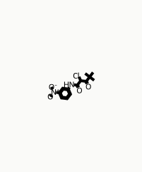 CC(C)(C)C(=O)C(Cl)C(=O)Nc1cccc([N+](=O)[O-])c1